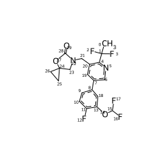 CC(F)(F)c1ncc(-c2ccc(F)c(OC(F)F)c2)cc1CN1CC2(CC2)OC1=O